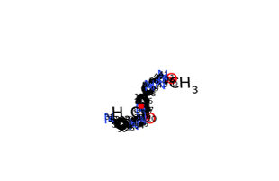 COc1cnc(CN2CCC(c3ccc4c(c3)cc(C(=O)N3CCN(Cc5ccc(C#N)cc5)CC3)n4C)CC2)cn1